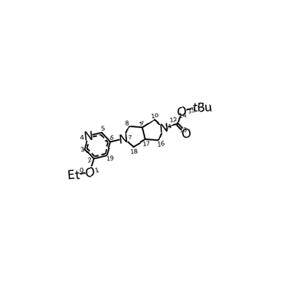 CCOc1cncc(N2CC3CN(C(=O)OC(C)(C)C)CC3C2)c1